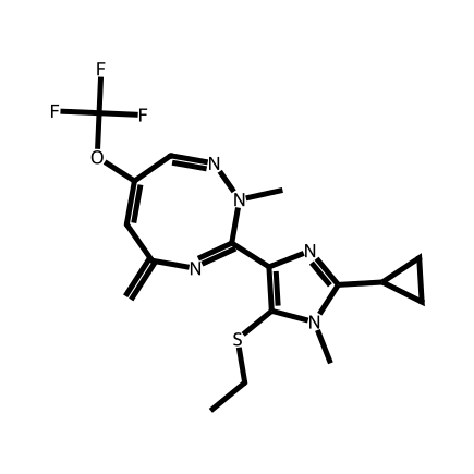 C=C1/C=C(OC(F)(F)F)\C=N/N(C)/C(c2nc(C3CC3)n(C)c2SCC)=N\1